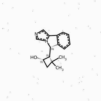 CC1(C)C[C@H](O)[C@@H]1[C@H]1c2ccccc2-c2cncn21